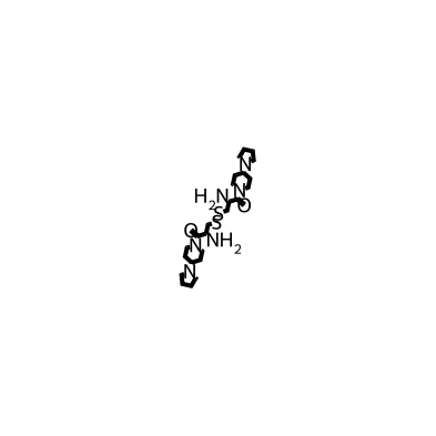 NC(CSSCC(N)C(=O)N1CCC(N2CCCC2)CC1)C(=O)N1CCC(N2CCCC2)CC1